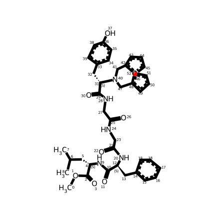 COC(=O)[C@H](CC(C)C)NC(=O)[C@H](Cc1ccccc1)NC(=O)CNC(=O)CNC(=O)[C@H](Cc1ccc(O)cc1)N(Cc1ccco1)Cc1ccco1